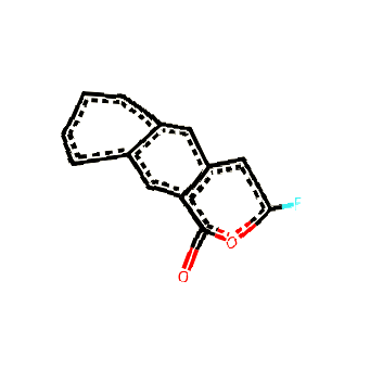 O=c1oc(F)cc2cc3ccccc3cc12